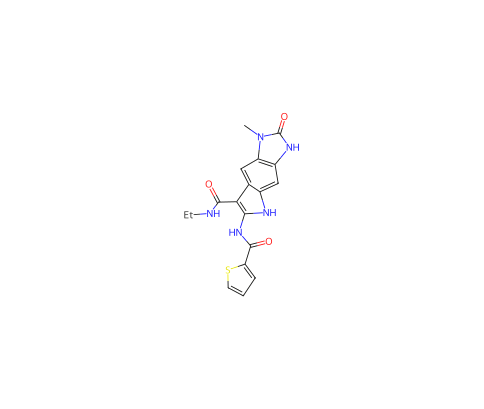 CCNC(=O)c1c(NC(=O)c2cccs2)[nH]c2cc3[nH]c(=O)n(C)c3cc12